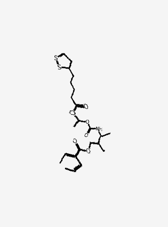 C/C=C\C(=C/C)C(=O)OCC(C)C(C)NC(=O)OC(C)OC(=O)CCCCC1CCSS1